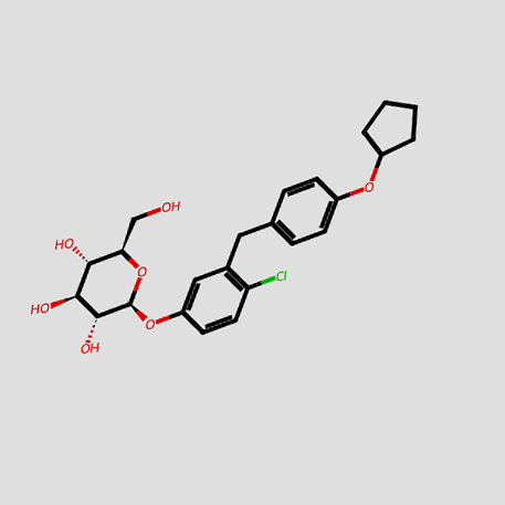 OC[C@H]1O[C@@H](Oc2ccc(Cl)c(Cc3ccc(OC4CCCC4)cc3)c2)[C@H](O)[C@@H](O)[C@@H]1O